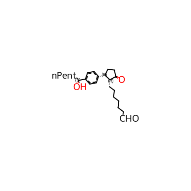 CCCCC[C@H](O)c1ccc([C@@H]2CCC(=O)[C@@H]2CCCCCCC=O)cc1